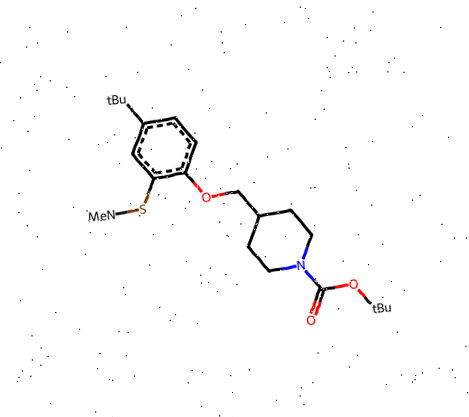 CNSc1cc(C(C)(C)C)ccc1OCC1CCN(C(=O)OC(C)(C)C)CC1